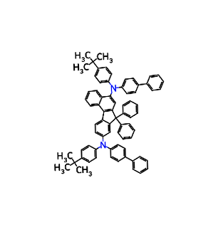 CC(C)(C)c1ccc(N(c2ccc(-c3ccccc3)cc2)c2ccc3c(c2)C(c2ccccc2)(c2ccccc2)c2cc(N(c4ccc(-c5ccccc5)cc4)c4ccc(C(C)(C)C)cc4)c4ccccc4c2-3)cc1